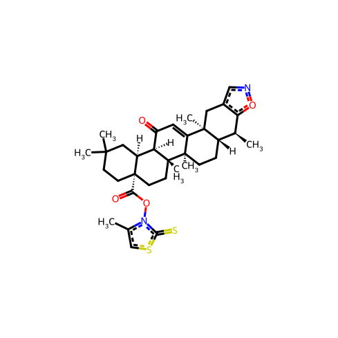 Cc1csc(=S)n1OC(=O)[C@]12CCC(C)(C)C[C@H]1[C@H]1C(=O)C=C3[C@@]4(C)Cc5cnoc5[C@@H](C)[C@@H]4CC[C@@]3(C)[C@]1(C)CC2